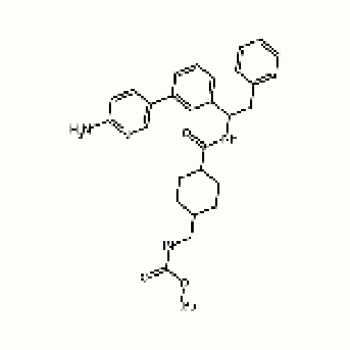 CC(C)(C)OC(=O)NCC1CCC(C(=O)NC(Cc2ccccc2)c2cccc(-c3ccc(N)nc3)c2)CC1